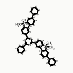 C[Si]1(C)c2ccc(-c3nc(-c4ccccc4)nc(-c4ccc5c(c4)-c4ccc(-c6ccccc6)cc4[Si]5(C)C)n3)cc2-c2ccc(-c3ccccc3)cc21